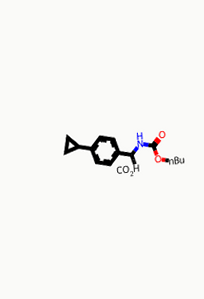 CCCCOC(=O)NC(C(=O)O)c1ccc(C2CC2)cc1